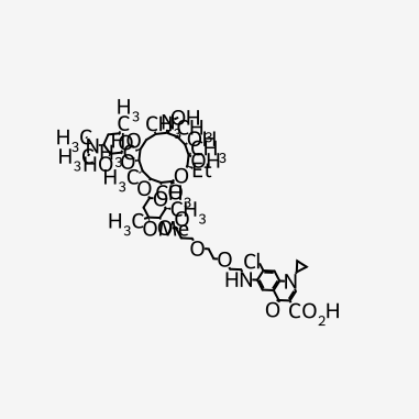 CC[C@H]1OC(=O)[C@H](C)[C@@H](OC2C[C@@](C)(OC)[C@@H](OC(=O)CCOCCOCCNc3cc4c(=O)c(C(=O)O)cn(C5CC5)c4cc3Cl)[C@H](C)O2)[C@H](C)[C@@H](OC2O[C@H](C)C[C@H](N(C)C)[C@H]2O)[C@](C)(O)C[C@@H](C)/C(=N/O)[C@H](C)[C@@H](O)[C@]1(C)O